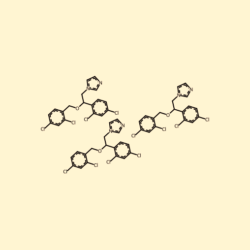 Clc1ccc(COC(Cn2ccnc2)c2ccc(Cl)cc2Cl)c(Cl)c1.Clc1ccc(COC(Cn2ccnc2)c2ccc(Cl)cc2Cl)c(Cl)c1.Clc1ccc(COC(Cn2ccnc2)c2ccc(Cl)cc2Cl)c(Cl)c1